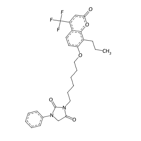 CCCc1c(OCCCCCCN2C(=O)CN(c3ccccc3)C2=O)ccc2c(C(F)(F)F)cc(=O)oc12